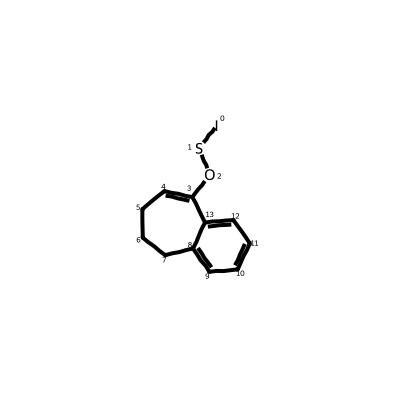 ISOC1=CCCCc2ccccc21